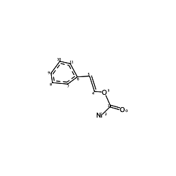 O=[C]([Ni])OC=Cc1ccccc1